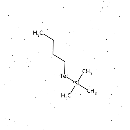 CCCC[Te+][Si](C)(C)C